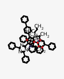 C=C/C=C\C(C)(c1ccccc1)C(C)(/C(=C\C(=C)N(C(=C)C=C)c1c(-c2ccc(-c3ccccc3)cc2)cc(-c2nc(-c3ccccc3)nc(-c3ccccc3)n2)cc1-c1ccc(-c2ccccc2)cc1)c1ccccc1)c1ccccc1